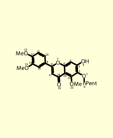 CCCCCOc1c(O)cc2oc(-c3ccc(OC)c(OC)c3)cc(=O)c2c1OC